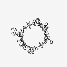 CC(C)[C@@H]1NC(=O)[C@H](Cc2c[nH]c3ccccc23)NC(=O)[C@H](CC(=O)O)NC(=O)[C@H](Cc2ccc(O)cc2)NC(=O)[C@H](CC2CCCCC2)NC(=O)CSC[C@@H](C(=O)N[C@@H](CCN)C(N)=O)NC(=O)[C@H]([C@H](C)O)NC(=O)[C@H](C(C)(C)O)NC(=O)[C@H](CC2CCCCC2)NC(=O)[C@H](CCC(=O)O)NC(=O)[C@@H](C)NC(=O)[C@H](C)N(C)C(=O)[C@H](C(C)C)NC(=O)[C@H](Cc2ccc(-c3ccccc3)cc2)NC1=O